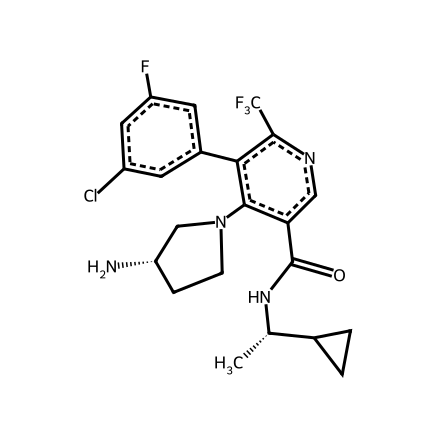 C[C@H](NC(=O)c1cnc(C(F)(F)F)c(-c2cc(F)cc(Cl)c2)c1N1CC[C@H](N)C1)C1CC1